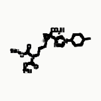 CC1CCC(n2cnc(C3(C(=O)O)C[C@@H]3CCCN(C(=O)OC(C)(C)C)C(=O)OC(C)(C)C)c2)CC1